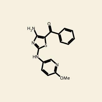 COc1ccc(Nc2nc(N)c(C(=O)c3ccccc3)s2)cn1